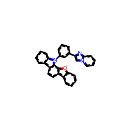 c1cc(-c2cn3ccccc3n2)cc(-n2c3ccccc3c3ccc4c5ccccc5oc4c32)c1